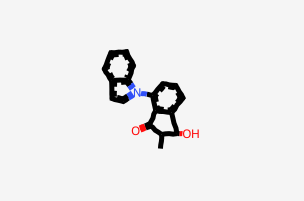 CC1C(=O)c2c(cccc2-n2ccc3ccccc32)C1O